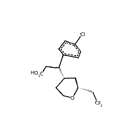 O=C(O)CC(c1ccc(Cl)cc1)[C@H]1CCO[C@@H](CC(F)(F)F)C1